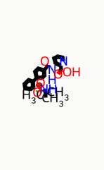 CC(C)(C)NS(=O)(=O)c1ccccc1-c1ccc(C(=O)Nc2cccnc2C(=O)O)cc1